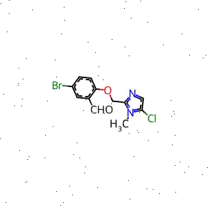 Cn1c(Cl)cnc1COc1ccc(Br)cc1C=O